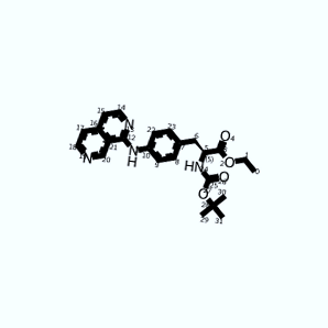 CCOC(=O)[C@H](Cc1ccc(Nc2nccc3ccncc23)cc1)NC(=O)OC(C)(C)C